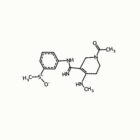 CNC1=C(C(=N)Nc2cccc([S+](C)[O-])c2)CN(C(C)=O)CC1